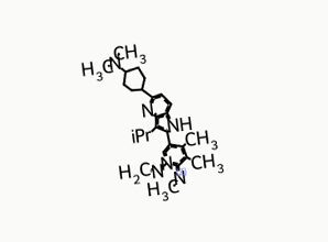 C=Nn1cc(-c2[nH]c3ccc(C4CCC(N(C)C)CC4)nc3c2C(C)C)c(C)c(C)/c1=N/C